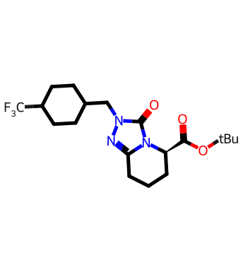 CC(C)(C)OC(=O)[C@H]1CCCc2nn(CC3CCC(C(F)(F)F)CC3)c(=O)n21